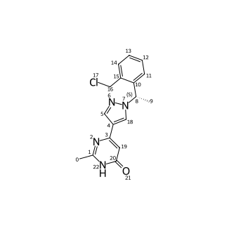 Cc1nc(-c2cnn([C@@H](C)c3ccccc3CCl)c2)cc(=O)[nH]1